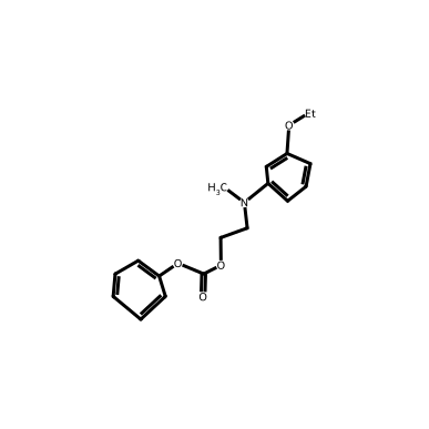 CCOc1cccc(N(C)CCOC(=O)Oc2ccccc2)c1